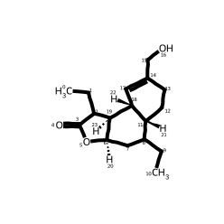 CCC1C(=O)O[C@@H]2CC(CC)[C@H]3CCC(CO)=C[C@H]3[C@H]12